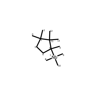 CC1(C)CC[C](C)([Nb]([CH3])([CH3])[CH3])C1(C)C